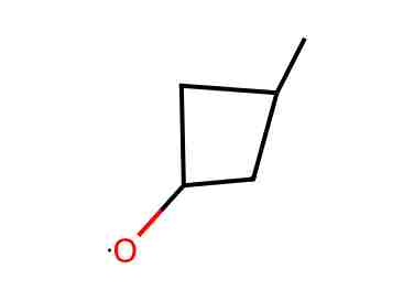 CC1CC([O])C1